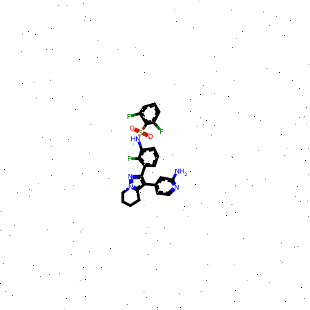 Nc1cc(-c2c(-c3cccc(NS(=O)(=O)c4c(F)cccc4F)c3F)nn3c2CCCC3)ccn1